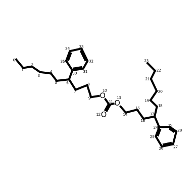 CCCCCCC(CCCOC(=O)OCCCC(CCCCCC)c1ccccc1)c1ccccc1